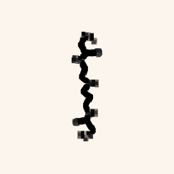 NCC(=O)NCCCNCCNC(=O)CN